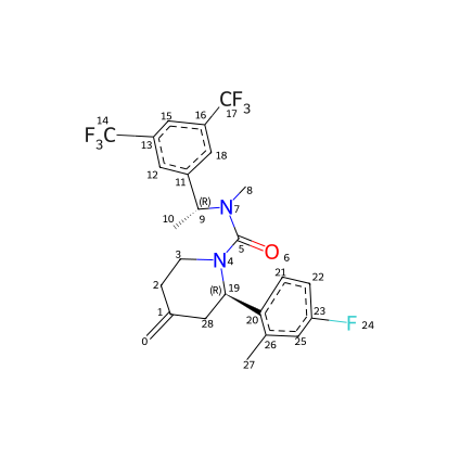 C=C1CCN(C(=O)N(C)[C@H](C)c2cc(C(F)(F)F)cc(C(F)(F)F)c2)[C@@H](c2ccc(F)cc2C)C1